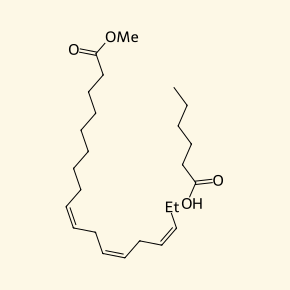 CC/C=C\C/C=C\C/C=C\CCCCCCCC(=O)OC.CCCCCC(=O)O